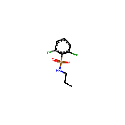 CCCNS(=O)(=O)c1c(F)cccc1F